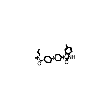 CCCN(C)C(=O)[C@H]1CC[C@@H](N2CCC(n3c(=O)[nH]c4ccc(C)cc43)CC2)CC1